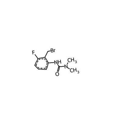 CN(C)C(=O)Nc1cccc(F)c1CBr